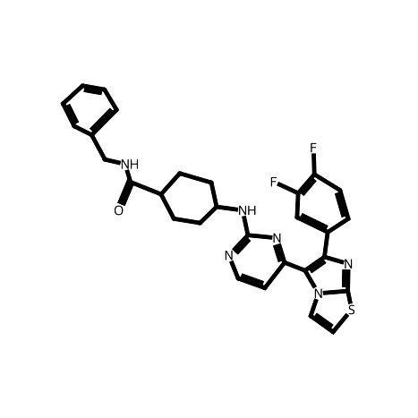 O=C(NCc1ccccc1)C1CCC(Nc2nccc(-c3c(-c4ccc(F)c(F)c4)nc4sccn34)n2)CC1